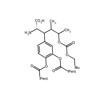 CCCC(C)C(=O)Oc1ccc(C(C(C)C(C)OC(=O)OCC(C)CC)[C@H](N)C(=O)O)cc1OC(=O)C(C)CCC